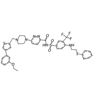 CCOc1cccc(-c2csc(CN3CCN(c4ccc(C(=O)NS(=O)(=O)c5ccc(NCCSc6ccccc6)c(C(F)(F)F)c5)nn4)CC3)c2)c1